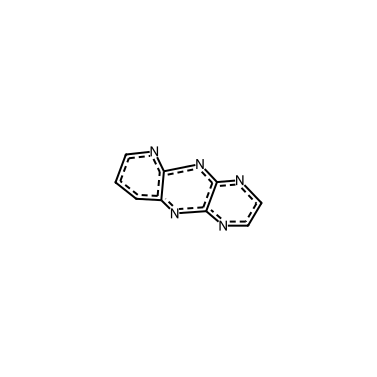 c1cnc2nc3nccnc3nc2c1